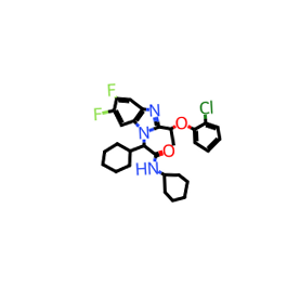 CC(Oc1ccccc1Cl)c1nc2cc(F)c(F)cc2n1C(C(=O)NC1CCCCC1)C1CCCCC1